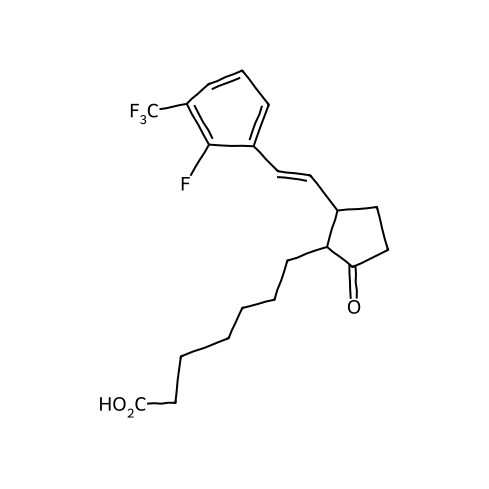 O=C(O)CCCCCCC1C(=O)CCC1/C=C/c1cccc(C(F)(F)F)c1F